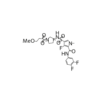 COCCS(=O)(=O)N1CC[C@@H](NS(=O)(=O)c2cn(C)c(C(=O)Nc3ccc(F)c(F)c3)c2F)C1